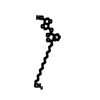 CCCCCCCCCCCCCCCC(=O)N1CCCC1C(=O)OC1COC2C(O)COC12